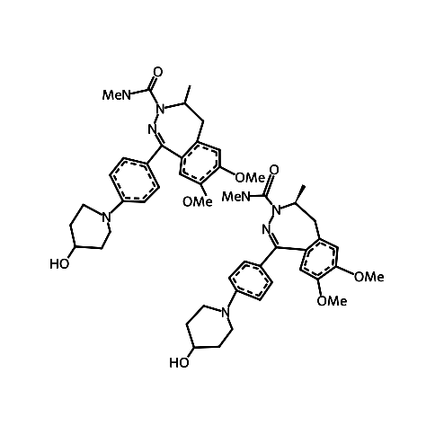 CNC(=O)N1N=C(c2ccc(N3CCC(O)CC3)cc2)c2cc(OC)c(OC)cc2CC1C.CNC(=O)N1N=C(c2ccc(N3CCC(O)CC3)cc2)c2cc(OC)c(OC)cc2C[C@@H]1C